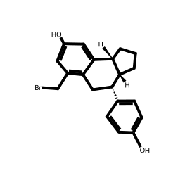 Oc1ccc([C@@H]2Cc3c(CBr)cc(O)cc3[C@@H]3CCC[C@H]23)cc1